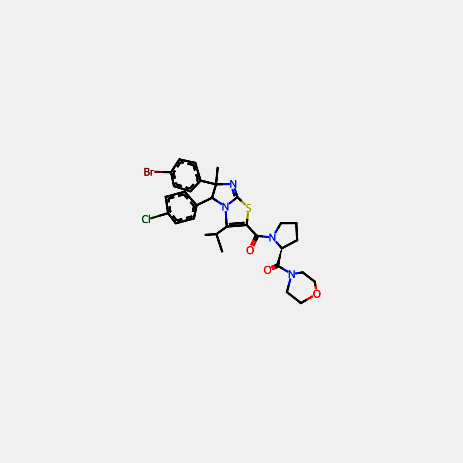 CC(C)C1=C(C(=O)N2CCC[C@H]2C(=O)N2CCOCC2)SC2=NC(C)(c3ccc(Br)cc3)C(c3ccc(Cl)cc3)N21